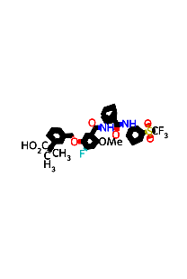 COc1cc(F)c(OCc2cccc(C(C)(C)C(=O)O)c2)cc1C(=O)NC1C2C=CC(C2)C1C(=O)Nc1cccc(S(=O)(=O)C(F)(F)F)c1